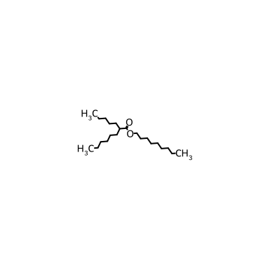 CCCCCCCCCOC(=O)C(CCCCC)CCCCCC